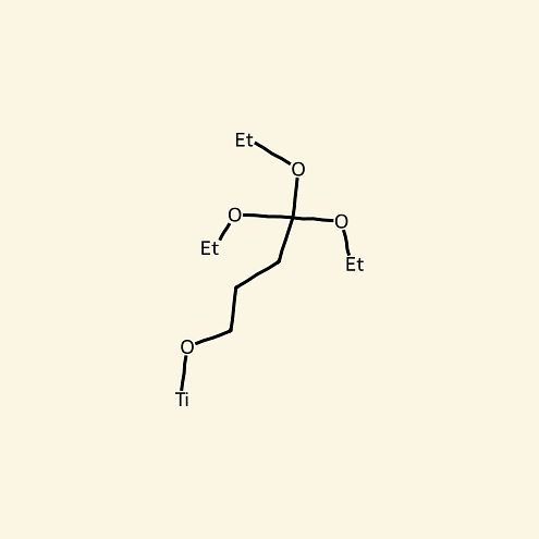 CCOC(CCC[O][Ti])(OCC)OCC